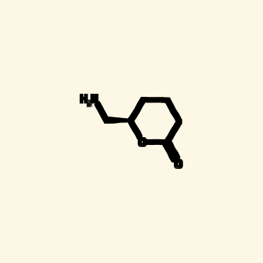 NC[C@H]1CCCC(=O)O1